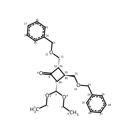 CCOC(OCC)[C@@H]1C(=O)[C@H](COCc2ccccc2)[C@H]1COCc1ccccc1